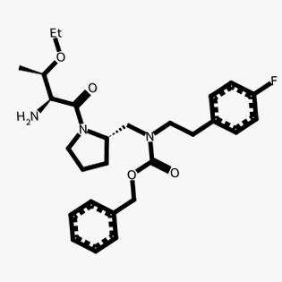 CCO[C@H](C)[C@H](N)C(=O)N1CCC[C@H]1CN(CCc1ccc(F)cc1)C(=O)OCc1ccccc1